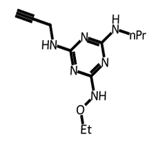 C#CCNc1nc(NCCC)nc(NOCC)n1